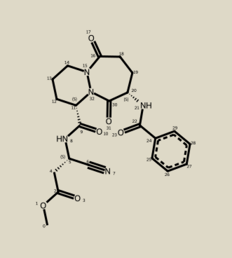 COC(=O)C[C@@H](C#N)NC(=O)[C@@H]1CCCN2C(=O)CC[C@H](NC(=O)c3ccccc3)C(=O)N12